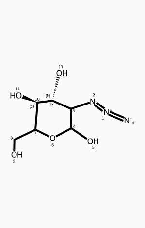 [N-]=[N+]=NC1C(O)OC(CO)[C@@H](O)[C@@H]1O